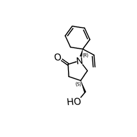 C=C[C@@]1(N2C[C@@H](CO)CC2=O)C=CC=CC1